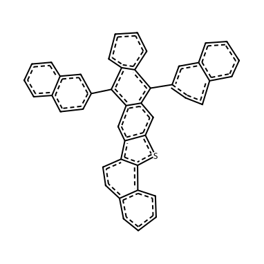 c1ccc2cc(-c3c4ccccc4c(-c4ccc5ccccc5c4)c4cc5c(cc34)sc3c4ccccc4ccc53)ccc2c1